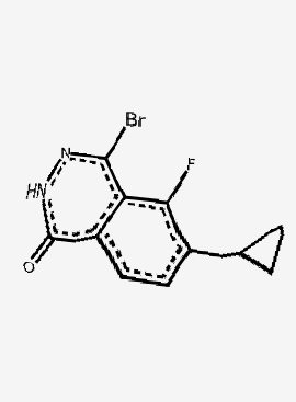 O=c1[nH]nc(Br)c2c(F)c(C3CC3)ccc12